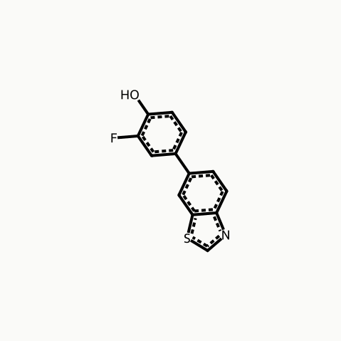 Oc1ccc(-c2ccc3ncsc3c2)cc1F